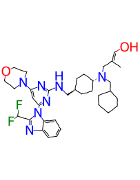 C/C(=C\O)CN(CC1CCCCC1)[C@H]1CC[C@H](CNc2nc(N3CCOCC3)cc(-n3c(C(F)F)nc4ccccc43)n2)CC1